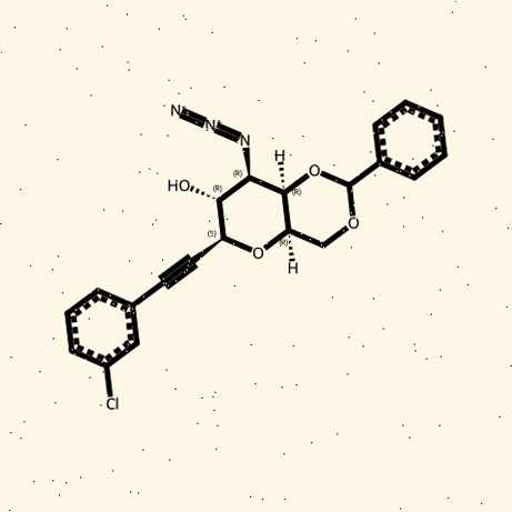 [N-]=[N+]=N[C@@H]1[C@@H](O)[C@H](C#Cc2cccc(Cl)c2)O[C@@H]2COC(c3ccccc3)O[C@H]12